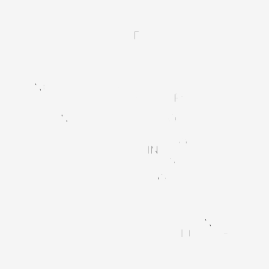 CCN(CC)CCCS(=O)(=O)NC(=O)Cc1c(-c2ccnc(C#N)c2)cc(F)cc1C(C)C